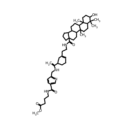 C=C(NCc1ccc(C(=O)NCCCC(=O)OC)cn1)C1CCC=C(CCNC(=O)C23CCCC2C2CCC4C(C)(CCC5C(C)(C)C(O)CCC54C)C2CC3)C1